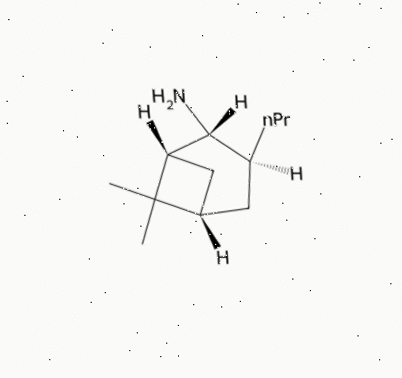 CCC[C@H]1C[C@H]2C[C@@H]([C@@H]1N)C2(C)C